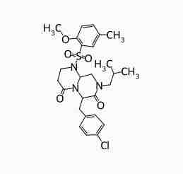 COc1ccc(C)cc1S(=O)(=O)N1CCC(=O)N2C(Cc3ccc(Cl)cc3)C(=O)N(CC(C)C)CC21